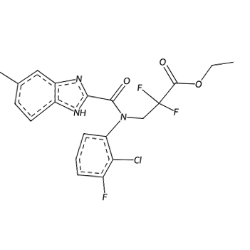 CCOC(=O)C(F)(F)CN(C(=O)c1nc2cc(I)ccc2[nH]1)c1cccc(F)c1Cl